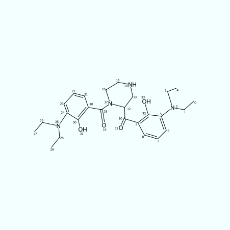 CCN(CC)c1cccc(C(=O)C2CNCCN2C(=O)c2cccc(N(CC)CC)c2O)c1O